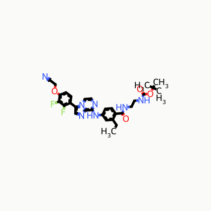 CCc1cc(Nc2nccn3c(-c4ccc(OCC#N)c(F)c4F)cnc23)ccc1C(=O)NCCNC(=O)OC(C)(C)C